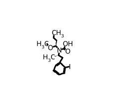 CCC[C@H](OC)N(C(=O)O)[C@@H](C)Cc1ccccc1I